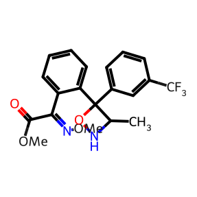 CO/N=C(/C(=O)OC)c1ccccc1C1(c2cccc(C(F)(F)F)c2)ONC1C